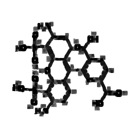 NC1=CCC2=C(c3cc(C(=O)O)ccc3C(=O)O)c3ccc(N)c(S(=O)(=O)O)c3OC2=C1S(=O)(=O)O